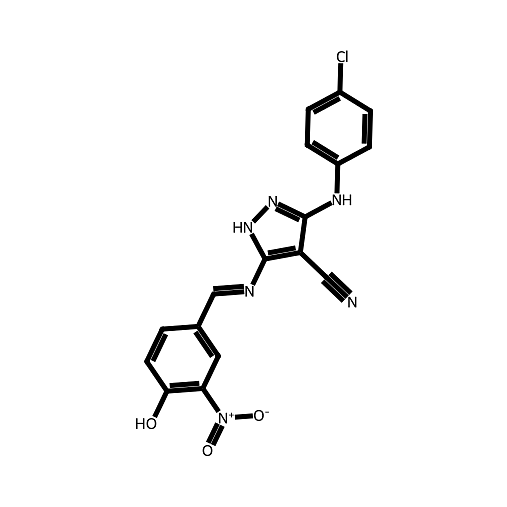 N#Cc1c(Nc2ccc(Cl)cc2)n[nH]c1/N=C/c1ccc(O)c([N+](=O)[O-])c1